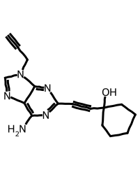 C#CCn1cnc2c(N)nc(C#CC3(O)CCCCC3)nc21